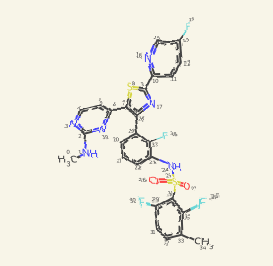 CNc1nccc(-c2sc(-c3ccc(F)cn3)nc2-c2cccc(NS(=O)(=O)c3c(F)ccc(C)c3F)c2F)n1